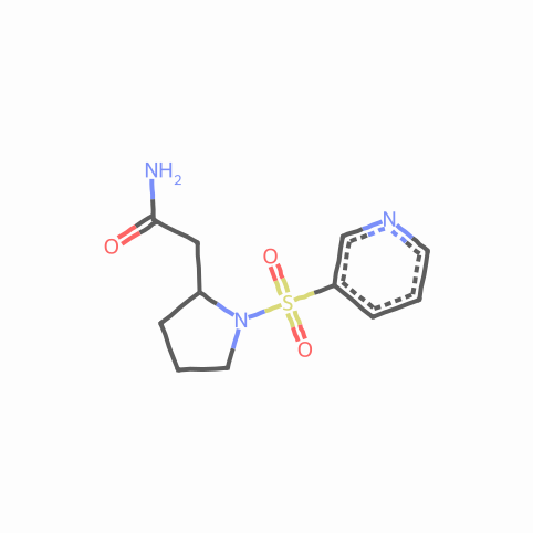 NC(=O)CC1CCCN1S(=O)(=O)c1cccnc1